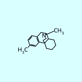 Cc1ccc2c(c1)C13CCCCC1C(C2)N(C)CC3